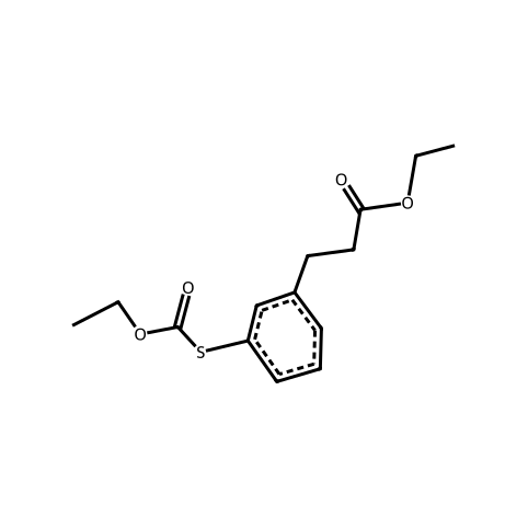 CCOC(=O)CCc1cccc(SC(=O)OCC)c1